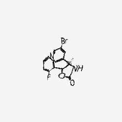 C[C@]1(c2cncc(Br)c2)NC(=O)OC1c1ccccc1F